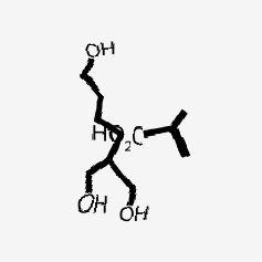 C=C(C)C(=O)O.OCCCCC(CO)CO